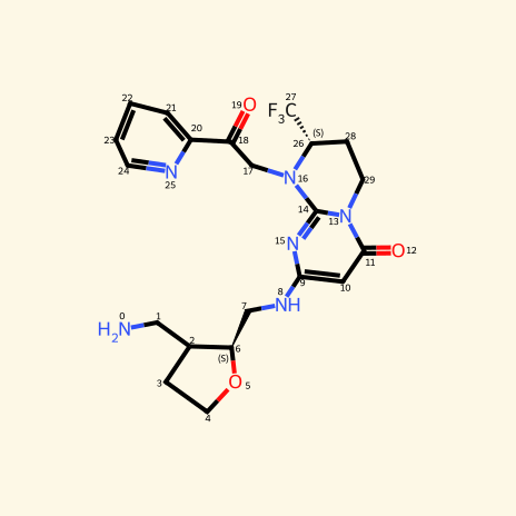 NCC1CCO[C@@H]1CNc1cc(=O)n2c(n1)N(CC(=O)c1ccccn1)[C@H](C(F)(F)F)CC2